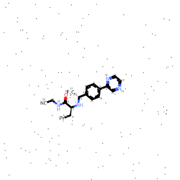 CC(C)C[C@H](N[C@@H](c1ccc(-c2cnccn2)cc1)C(F)(F)F)C(=O)NCC#N